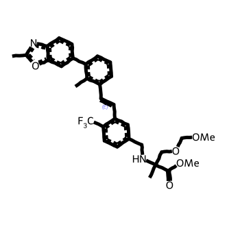 COCOCC(C)(NCc1ccc(C(F)(F)F)c(/C=C/c2cccc(-c3ccc4nc(C)oc4c3)c2C)c1)C(=O)OC